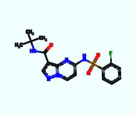 CC(C)(C)NC(=O)c1cnn2ccc(NS(=O)(=O)c3ccccc3F)nc12